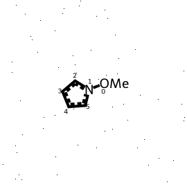 COn1cccc1